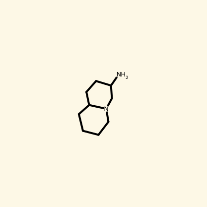 NC1CCC2CCCCN2C1